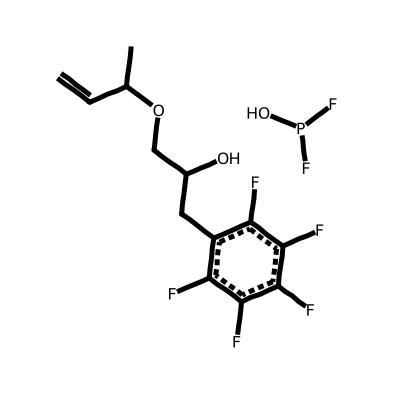 C=CC(C)OCC(O)Cc1c(F)c(F)c(F)c(F)c1F.OP(F)F